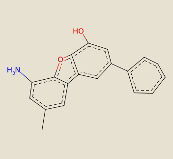 Cc1cc(N)c2oc3c(O)cc(-c4ccccc4)cc3c2c1